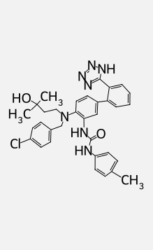 Cc1ccc(NC(=O)Nc2cc(-c3ccccc3-c3nnn[nH]3)ccc2N(CCC(C)(C)O)Cc2ccc(Cl)cc2)cc1